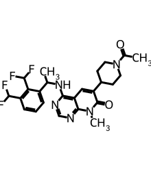 CC(=O)N1CCC(c2cc3c(NC(C)c4cccc(C(F)F)c4C(F)F)ncnc3n(C)c2=O)CC1